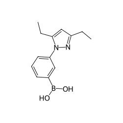 CCc1cc(CC)n(-c2cccc(B(O)O)c2)n1